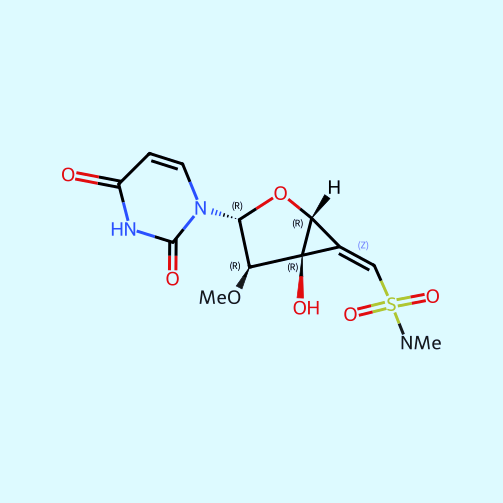 CNS(=O)(=O)/C=C1/[C@H]2O[C@@H](n3ccc(=O)[nH]c3=O)[C@H](OC)[C@@]12O